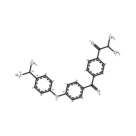 CC(C)C(=O)c1ccc(C(=O)c2ccc(Oc3ccc(C(C)C)cc3)cc2)cc1